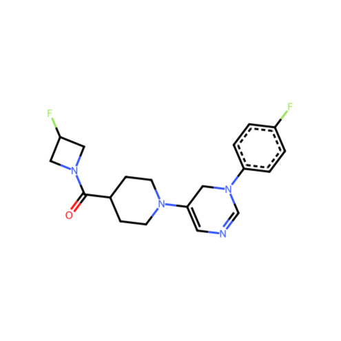 O=C(C1CCN(C2=CN=CN(c3ccc(F)cc3)C2)CC1)N1CC(F)C1